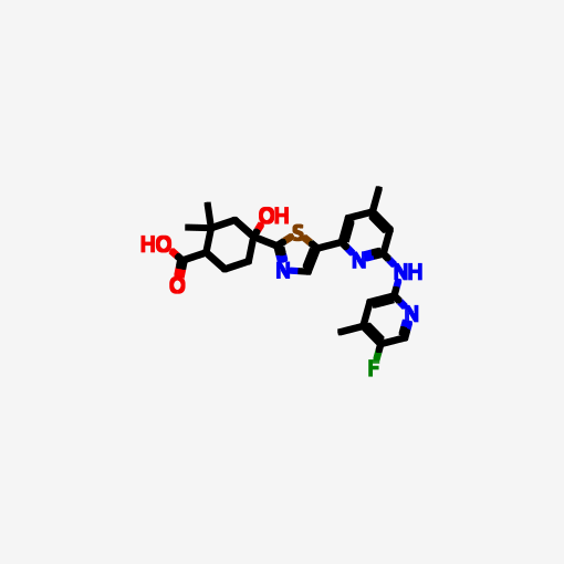 Cc1cc(Nc2cc(C)c(F)cn2)nc(-c2cnc(C3(O)CCC(C(=O)O)C(C)(C)C3)s2)c1